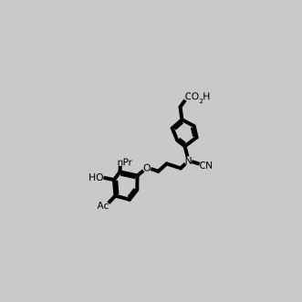 CCCc1c(OCCCN(C#N)c2ccc(CC(=O)O)cc2)ccc(C(C)=O)c1O